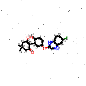 CCc1ccc(Oc2cnc3cc(F)ccc3n2)cc1C1=C(O)CC(C)(C)CC1=O